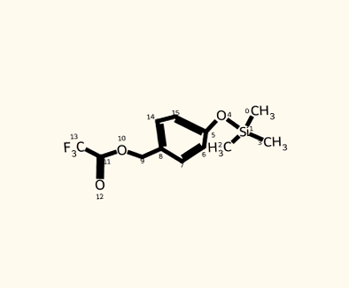 C[Si](C)(C)Oc1ccc(COC(=O)C(F)(F)F)cc1